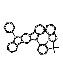 CC1(C)c2cccc(-n3c4ccccc4c4cc5c(cc43)c3ccccc3n5-c3ccccc3)c2-n2c1nc1ccccc12